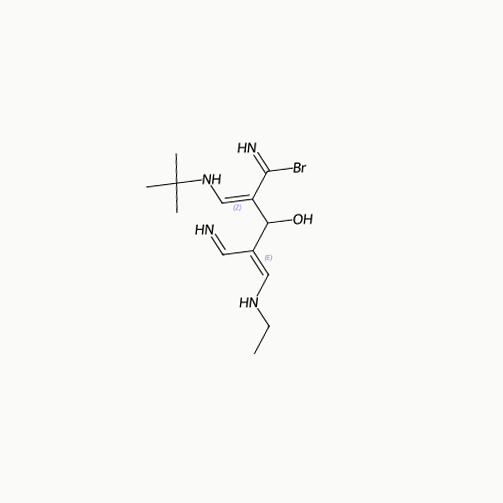 CCN/C=C(\C=N)C(O)/C(=C/NC(C)(C)C)C(=N)Br